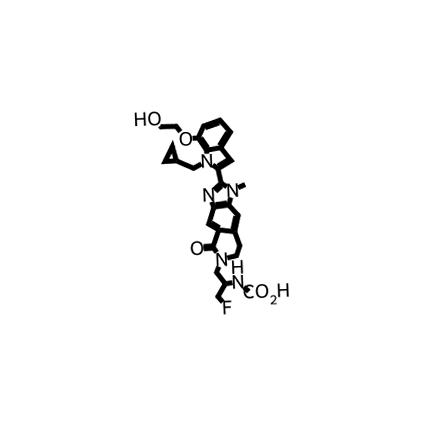 Cn1c(-c2cc3cccc(OCCO)c3n2CC2CC2)nc2cc3c(cc21)CCN(CC(CF)NC(=O)O)C3=O